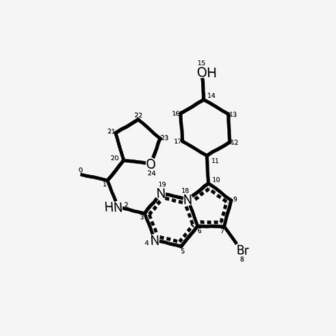 CC(Nc1ncc2c(Br)cc(C3CCC(O)CC3)n2n1)C1CCCO1